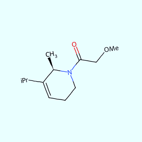 COCC(=O)N1CCC=C(C(C)C)[C@H]1C